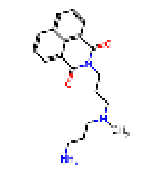 CN(CCCN)CCCN1C(=O)c2cccc3cccc(c23)C1=O